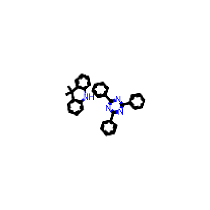 CC1(C)c2ccccc2Nc2ccccc21.c1ccc(-c2nc(-c3ccccc3)nc(-c3ccccc3)n2)cc1